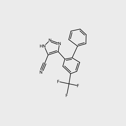 N#Cc1[nH]nnc1-c1cc(C(F)(F)F)ccc1-c1ccccc1